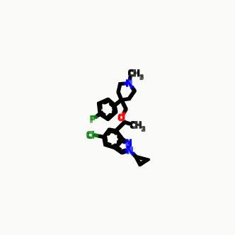 CC(OCC1(c2ccc(F)cc2)CCN(C)CC1)c1cc(Cl)cc2cn(C3CC3)nc12